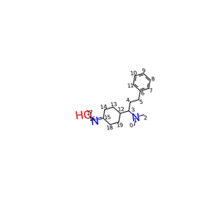 CN(C)C(CCc1ccccc1)C1CCC(=NO)CC1